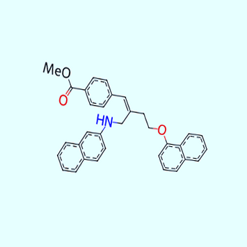 COC(=O)c1ccc(C=C(CCOc2cccc3ccccc23)CNc2ccc3ccccc3c2)cc1